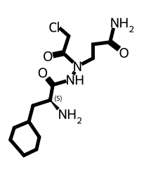 NC(=O)CCN(NC(=O)[C@@H](N)CC1CCCCC1)C(=O)CCl